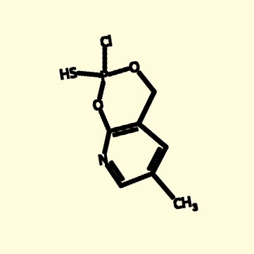 Cc1cnc2c(c1)CO[P](S)(Cl)O2